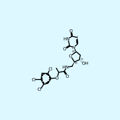 CC(Oc1cc(Cl)c(Cl)cc1Cl)C(=O)NC[C@H]1O[C@@H](N2C=IC(=O)NC2=O)C[C@@H]1O